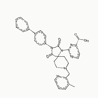 Cc1cccnc1CN1CCC2(CC1)C(=O)N(c1ccc(-c3ccccc3)cc1)C(=O)N2c1nccc(C(=O)O)n1